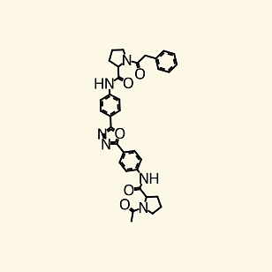 CC(=O)N1CCCC1C(=O)Nc1ccc(-c2nnc(-c3ccc(NC(=O)C4CCCN4C(=O)Cc4ccccc4)cc3)o2)cc1